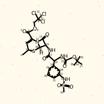 CC1C=C(C(=O)OCC(Cl)(Cl)Cl)N2C(=O)C(NC(=O)C(NC(=O)OC(C)(C)C)c3cccc(NS(C)(=O)=O)c3)[C@H]2S1